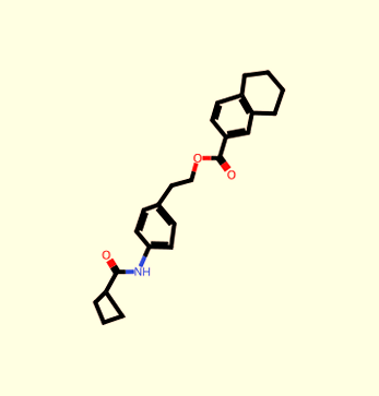 O=C(OCCc1ccc(NC(=O)C2CCC2)cc1)c1ccc2c(c1)CCCC2